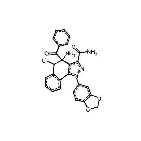 NC(=O)c1nn(-c2ccc3c(c2)OCO3)c2c1C(N)(C(=O)c1ccccc1)C(Cl)c1ccccc1-2